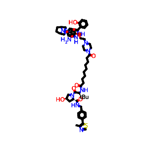 Cc1ncsc1-c1ccc(CNC(=O)[C@@H]2C[C@@H](O)CN2C(=O)[C@@H](NC(=O)CCCCCCCCC(=O)N2CCN(CCOc3ccc(N4C5CCC4CN(C4=C(N)NNC(c6ccccc6O)=C4)C5)cc3)CC2)C(C)(C)C)cc1